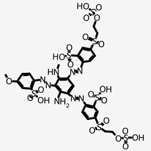 CNc1c(/N=N/c2ccc(S(=O)(=O)CCOS(=O)(=O)O)cc2S(=O)(=O)O)cc(/N=N/c2ccc(S(=O)(=O)CCOS(=O)(=O)O)cc2S(=O)(=O)O)c(N)c1/N=N/c1ccc(OC)cc1S(=O)(=O)O